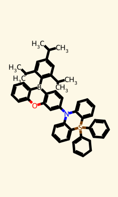 CC(C)c1cc(C(C)C)c(B2c3ccccc3Oc3cc(N4c5ccccc5S(C5=CC=CCC5)(c5ccccc5)c5ccccc54)ccc32)c(C(C)C)c1